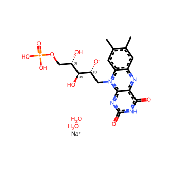 Cc1cc2nc3c(=O)[nH]c(=O)nc-3n(C[C@@H]([O-])[C@@H](O)[C@@H](O)COP(=O)(O)O)c2cc1C.O.O.[Na+]